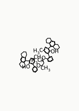 Cc1cc(-c2ccccc2OC(C)C[C@@H](C)Oc2ccccc2-c2cc(C)cc(-c3c4c(cc5c3CCCC5)CCCC4)c2O)c(O)c(-c2c3c(cc4c2CCCC4)CCCC3)c1